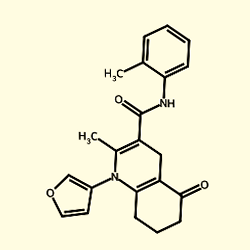 CC1=C(C(=O)Nc2ccccc2C)CC2=C(CCCC2=O)N1c1ccoc1